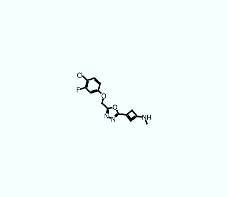 CNC1=C=C(c2nnc(COc3ccc(Cl)c(F)c3)o2)C1